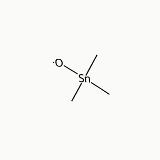 [CH3][Sn]([CH3])([CH3])[O]